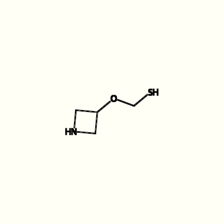 SCOC1CNC1